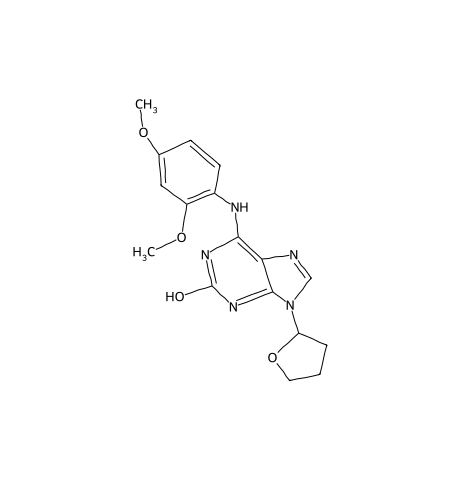 COc1ccc(Nc2nc(O)nc3c2ncn3C2CCCO2)c(OC)c1